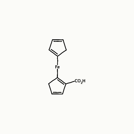 O=C(O)C1=[C]([Fe][C]2=CC=CC2)CC=C1